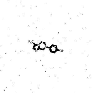 Oc1ccc(N2CCn3c(C(F)(F)F)cnc3C2)cc1